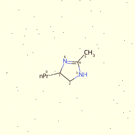 CCCC1CNC(C)=N1